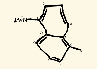 CNc1cccc2c(C)cccc12